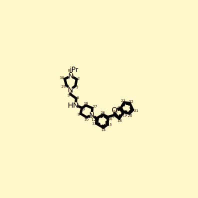 CC(C)N1CCN(CCNC2CCN(c3cccc(-c4cc5ccccc5o4)c3)CC2)CC1